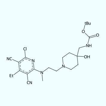 CCc1c(C#N)c(Cl)nc(N(C)CCN2CCC(O)(CNC(=O)OC(C)(C)C)CC2)c1C#N